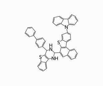 c1ccc(-c2ccc(C3NC(c4cc5ccccc5c5c4sc4cc(-n6c7ccccc7c7ccccc76)ccc45)Nc4c3sc3ccccc43)cc2)cc1